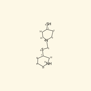 SC1CCN(CSC2CCCNC2)CC1